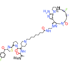 C=C1/C=C(F)\C=C/CC(=O)N(C)Cc2nn(CCNC(=O)CCCCCCCCN3CCC([C@@H](NC(=O)[C@@H](C)NC)C(=O)N4CCC[C@@H]4C4=NC(C(=O)c5ccc(F)cc5)CS4)CC3)cc2-c2cnc(N)c(c2)N2CCC[C@H]12